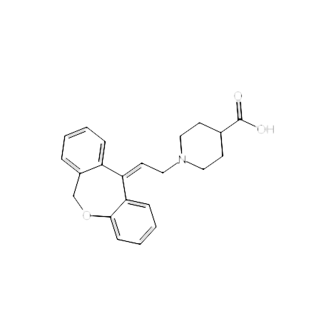 O=C(O)C1CCN(CC=C2c3ccccc3COc3ccccc32)CC1